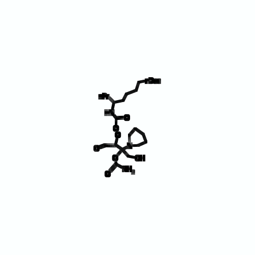 CCCCCCCCCCCCCCC(CCC)NC(=O)OOC(=C=O)C(CO)(OC(N)=O)N1CCCCC1